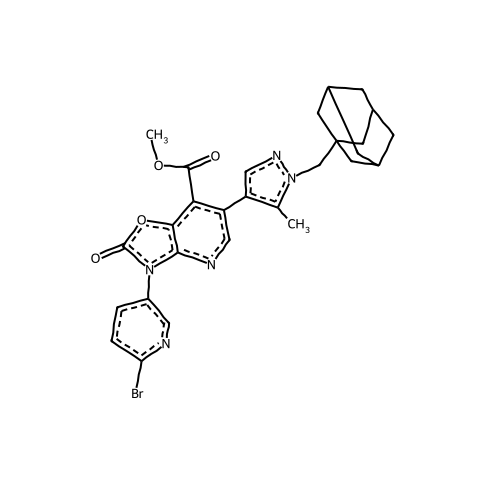 COC(=O)c1c(-c2cnn(CC34CC5CC(CC(C5)C3)C4)c2C)cnc2c1oc(=O)n2-c1ccc(Br)nc1